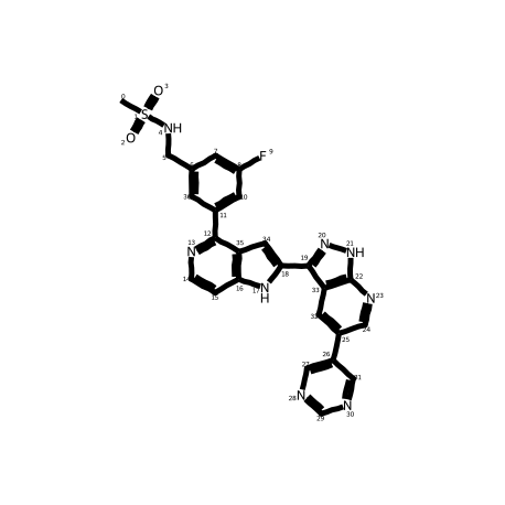 CS(=O)(=O)NCc1cc(F)cc(-c2nccc3[nH]c(-c4n[nH]c5ncc(-c6cncnc6)cc45)cc23)c1